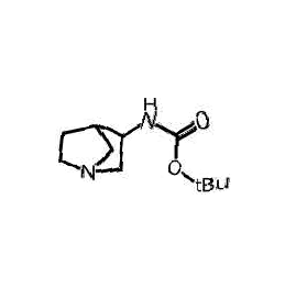 CC(C)(C)OC(=O)NC1CN2CCC1C2